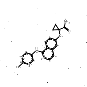 NC(=O)C1(Oc2ccc3c(Nc4cnc(Cl)nc4)nccc3c2)CC1